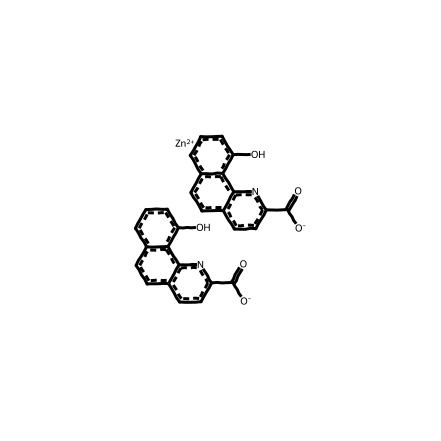 O=C([O-])c1ccc2ccc3cccc(O)c3c2n1.O=C([O-])c1ccc2ccc3cccc(O)c3c2n1.[Zn+2]